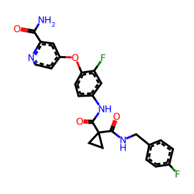 NC(=O)c1cc(Oc2ccc(NC(=O)C3(C(=O)NCc4ccc(F)cc4)CC3)cc2F)ccn1